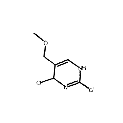 COCC1=CNC(Cl)=NC1Cl